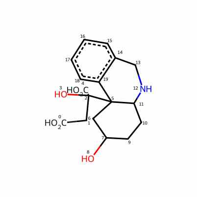 O=C(O)CC(O)(C(=O)O)C12CC(O)CCC1NCc1ccccc12